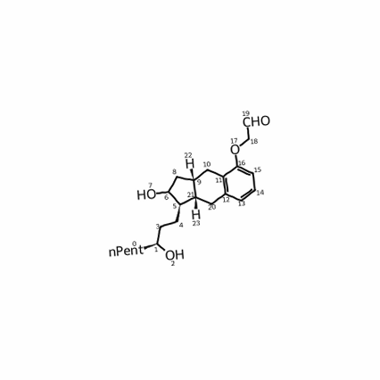 CCCCC[C@H](O)CC[C@H]1C(O)C[C@@H]2Cc3c(cccc3OCC=O)C[C@@H]21